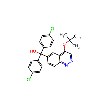 CC(C)(C)Oc1cnnc2ccc(C(O)(c3ccc(Cl)cc3)c3ccc(Cl)cc3)cc12